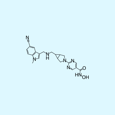 Cn1cc(CNCC2C3CN(c4ncc(C(=O)NO)cn4)CC23)c2cc(C#N)ccc21